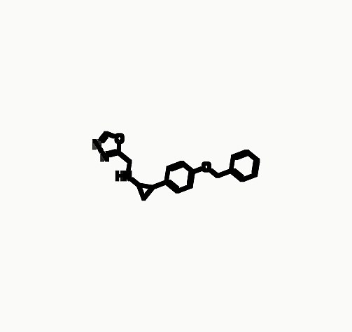 c1ccc(COc2ccc(C3CC3NCc3nnco3)cc2)cc1